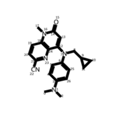 CN(C)c1ccc(N(CC2CC2)c2cc(=O)n(C)c3ccc(C#N)nc23)cc1